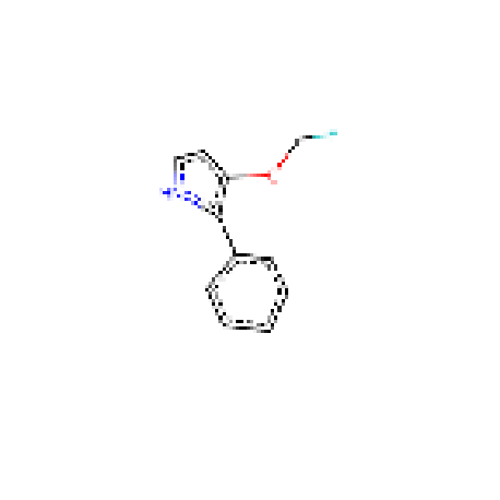 FCOc1cc[nH]c1-c1ccccc1